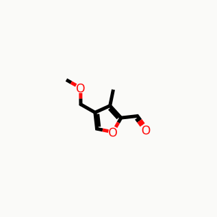 COCc1coc(C=O)c1C